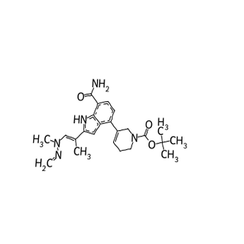 C=NN(C)/C=C(\C)c1cc2c(C3=CCCN(C(=O)OC(C)(C)C)C3)ccc(C(N)=O)c2[nH]1